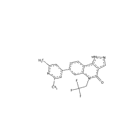 Cc1cc(-c2ccc3c4[nH]ncc4c(=O)n(CC(F)(F)F)c3c2)cc(C)n1